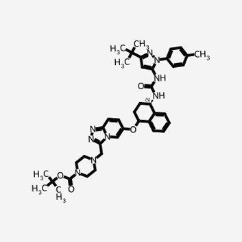 Cc1ccc(-n2nc(C(C)(C)C)cc2NC(=O)N[C@H]2CCC(Oc3ccc4nnc(CN5CCN(C(=O)OC(C)(C)C)CC5)n4c3)c3ccccc32)cc1